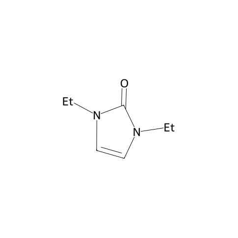 CCn1ccn(CC)c1=O